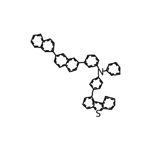 c1ccc(N(c2ccc(-c3cccc4sc5ccccc5c34)cc2)c2cccc(-c3ccc4ccc(-c5ccc6ccccc6c5)cc4c3)c2)cc1